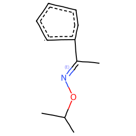 C/C(=N\OC(C)C)c1[c]cccc1